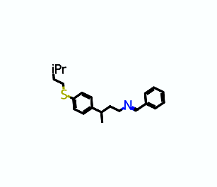 CC(C)CCSc1ccc(C(C)CCN=Cc2ccccc2)cc1